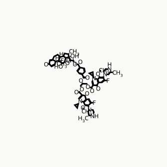 COc1c(N2CCNC(C)C2)c(F)cc2c(=O)c(C(=O)OCC(COC(=O)c3cn(C4CC4)c4c(OC)c(N5CCNC(C)C5)c(F)cc4c3=O)OC(=O)c3ccc(C(=O)OCC(=O)[C@@]4(O)[C@H](C)C[C@H]5[C@@H]6CCC7=CC(=O)C=C[C@]7(C)[C@@]6(F)[C@@H](O)C[C@@]54C)cc3)cn(C3CC3)c12